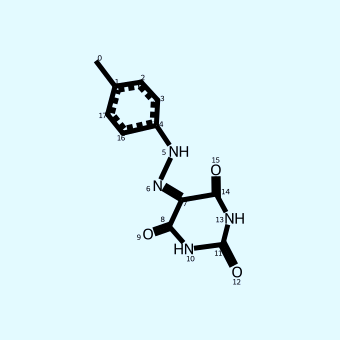 Cc1ccc(NN=C2C(=O)NC(=O)NC2=O)cc1